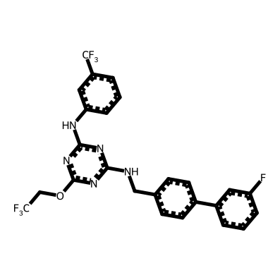 Fc1cccc(-c2ccc(CNc3nc(Nc4cccc(C(F)(F)F)c4)nc(OCC(F)(F)F)n3)cc2)c1